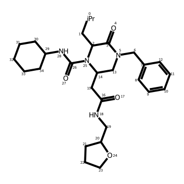 CC(C)CC1C(=O)N(Cc2ccccc2)CC(CC(=O)NCC2CCCO2)N1C(=O)NC1CCCCC1